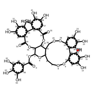 O=C(OC1OC2CCOOc3cc(O)c(O)c(O)c3-c3c(cc(O)c(O)c3O)OOCC2C2OC(=O)c3cc(O)c(O)c(O)c3-c3c(cc(O)c(O)c3O)C(=O)OC12)c1cc(O)c(O)c(O)c1